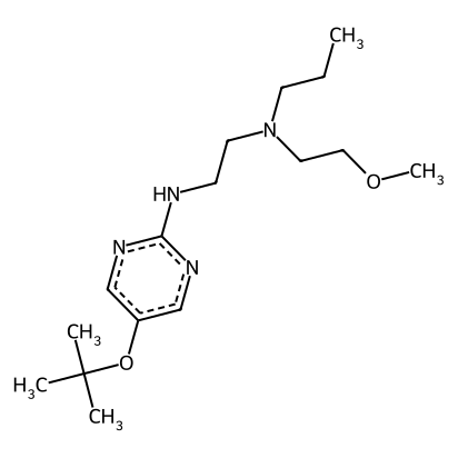 CCCN(CCNc1ncc(OC(C)(C)C)cn1)CCOC